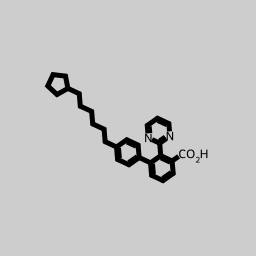 O=C(O)c1cccc(-c2ccc(CCCCCCC3CCCC3)cc2)c1-c1ncccn1